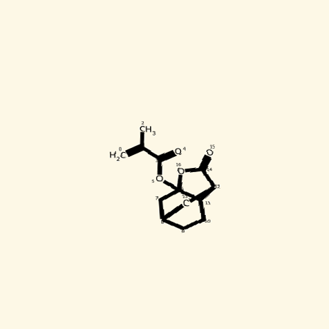 C=C(C)C(=O)OC12CC3CCC1C(C3)C(=O)O2